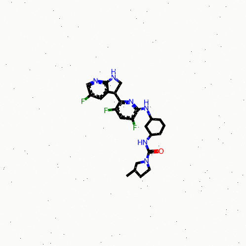 CC1CCN(C(=O)NC2CCCC(Nc3nc(C4CNc5ncc(F)cc54)c(F)cc3F)C2)C1